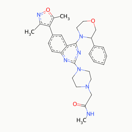 CNC(=O)CN1CCN(c2nc(N3CCOCC3c3ccccc3)c3cc(-c4c(C)noc4C)ccc3n2)CC1